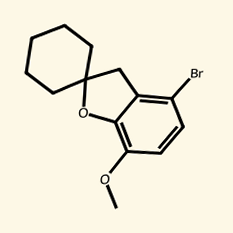 COc1ccc(Br)c2c1OC1(CCCCC1)C2